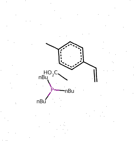 C=Cc1ccc(C)cc1.CC(=O)O.CCCCP(CCCC)CCCC